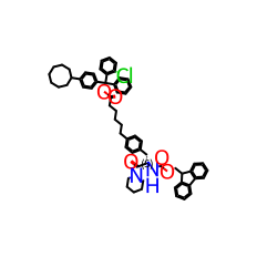 O=C(CCCCCc1ccc(C[C@H](NC(=O)OCC2c3ccccc3-c3ccccc32)C(=O)N2CCCCC2)cc1)OC(c1ccccc1)(c1ccc(C2CCCCCCC2)cc1)c1ccccc1Cl